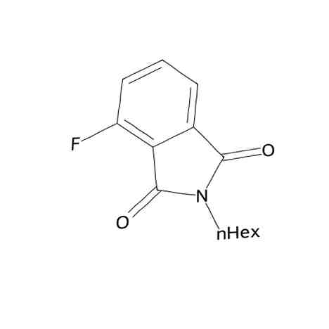 CCCCCCN1C(=O)c2cccc(F)c2C1=O